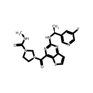 CNC(=O)N1CCN(C(=O)c2nc(N[C@@H](C)c3cncc(F)c3)nc3ccsc23)C1